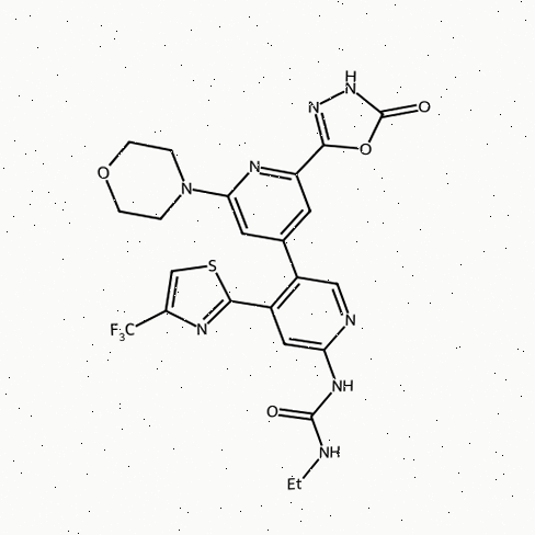 CCNC(=O)Nc1cc(-c2nc(C(F)(F)F)cs2)c(-c2cc(-c3n[nH]c(=O)o3)nc(N3CCOCC3)c2)cn1